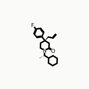 C=CC[C@]1(c2ccc(F)cc2)CCN([C@@H](C)C2CCCCC2)C(=O)C1